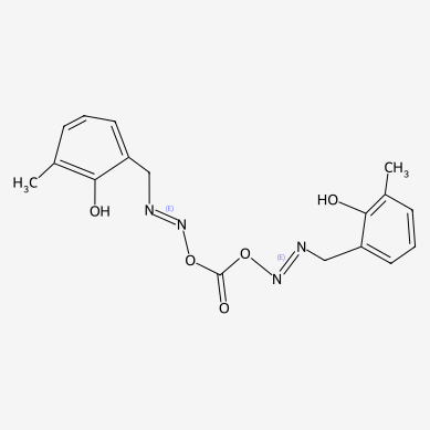 Cc1cccc(C/N=N/OC(=O)O/N=N/Cc2cccc(C)c2O)c1O